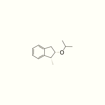 CC(C)O[C@H]1Cc2ccccc2[C@H]1C